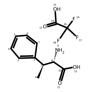 C[C@@H](c1ccccc1)[C@H](N)C(=O)O.O=C(O)C(F)(F)F